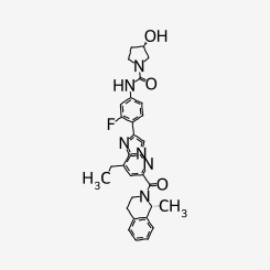 CCc1cc(C(=O)N2CCc3ccccc3[C@H]2C)nn2cc(-c3ccc(NC(=O)N4CC[C@@H](O)C4)cc3F)nc12